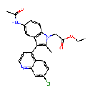 CCOC(=O)Cn1c(C)c(-c2ccnc3cc(Cl)ccc23)c2cc(NC(C)=O)ccc21